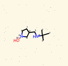 CC(C)(C)NCC1CCN(O)C1